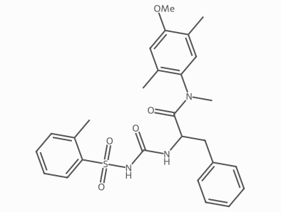 COc1cc(C)c(N(C)C(=O)C(Cc2ccccc2)NC(=O)NS(=O)(=O)c2ccccc2C)cc1C